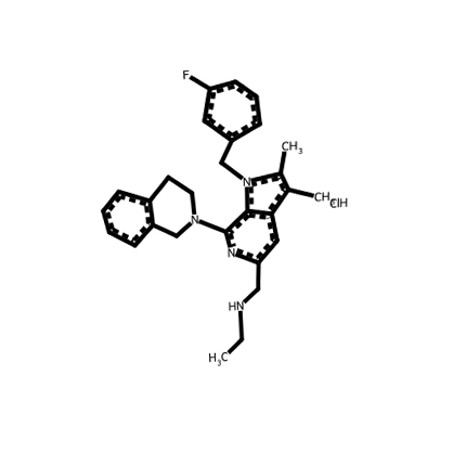 CCNCc1cc2c(C)c(C)n(Cc3cccc(F)c3)c2c(N2CCc3ccccc3C2)n1.Cl